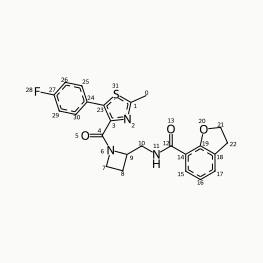 Cc1nc(C(=O)N2CCC2CNC(=O)c2cccc3c2OCC3)c(-c2ccc(F)cc2)s1